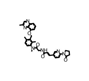 Cc1cnc2cccc(OCc3c(C)ccc(N(C)C(=O)CNC(=O)C=Cc4ccc(N5CCCC5=O)nc4)c3C)c2n1